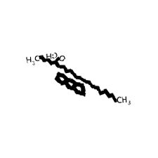 CCCCCCCCCCCCCCCCC(CCCCC)C(=O)O.c1ccc2cc3ccccc3cc2c1